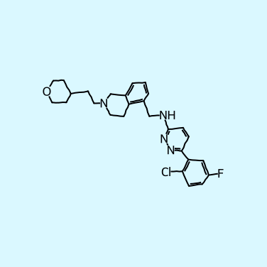 Fc1ccc(Cl)c(-c2ccc(NCc3cccc4c3CCN(CCC3CCOCC3)C4)nn2)c1